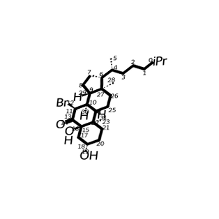 CC(C)CCC[C@@H](C)[C@H]1CC[C@H]2[C@@H]3[C@H](Br)C(=O)[C@@]4(O)C[C@@H](O)CC[C@]4(C)[C@H]3CC[C@]12C